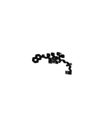 C[N+](C)(CC=CC1=C(C(=O)[O-])N2C(=O)[C@@H](NC(=O)CSc3ccc4ccccc4c3)[C@H]2SC1)CCCO